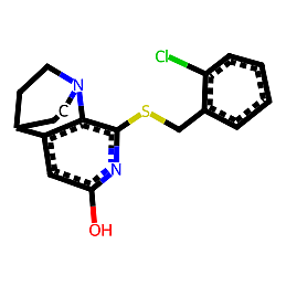 Oc1cc2c(c(SCc3ccccc3Cl)n1)N1CCC2CC1